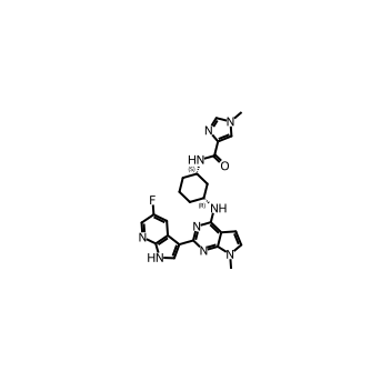 Cn1cnc(C(=O)N[C@H]2CCC[C@@H](Nc3nc(-c4c[nH]c5ncc(F)cc45)nc4c3ccn4C)C2)c1